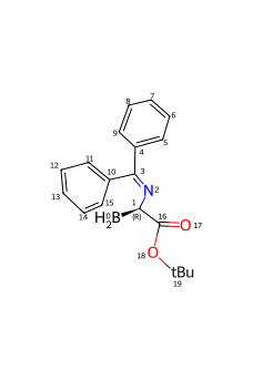 B[C@@H](N=C(c1ccccc1)c1ccccc1)C(=O)OC(C)(C)C